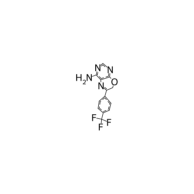 Nc1ncnc2c1N=C(c1ccc(C(F)(F)F)cc1)CO2